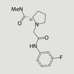 CNC(=O)[C@@H]1CCCN1CC(=O)Nc1cccc(F)c1